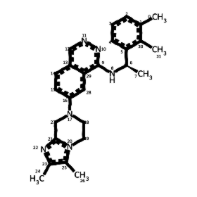 Cc1cccc([C@@H](C)Nc2nncc3ccc(N4CCn5c(nc(C)c5C)C4)cc23)c1C